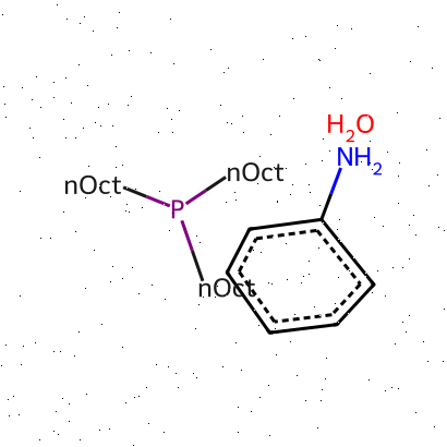 CCCCCCCCP(CCCCCCCC)CCCCCCCC.Nc1ccccc1.O